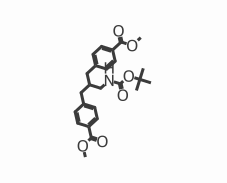 COC(=O)c1ccc(CC(CNC(=O)OC(C)(C)C)Cc2ccc(C(=O)OC)cc2)cc1